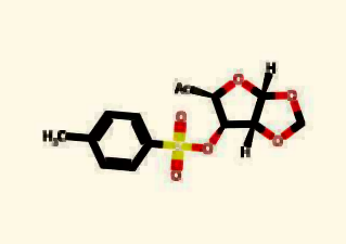 CC(=O)[C@H]1O[C@@H]2OCO[C@@H]2[C@H]1OS(=O)(=O)c1ccc(C)cc1